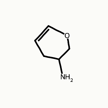 NC1CC=COC1